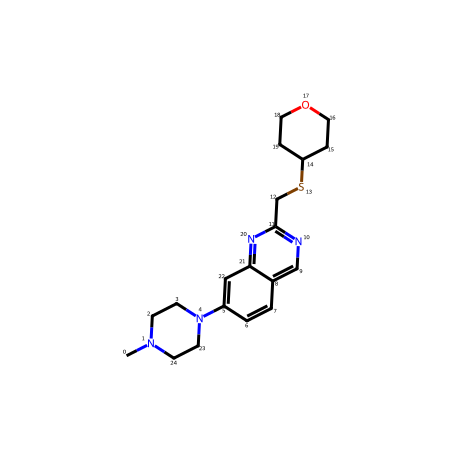 CN1CCN(c2ccc3cnc(CSC4CCOCC4)nc3c2)CC1